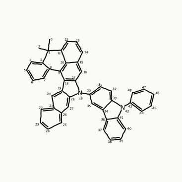 CC1(C)c2ccccc2-c2c3c1cccc3cc1c2c2cc3ccccc3cc2n1-c1ccc2c(c1)c1ccccc1n2-c1ccccc1